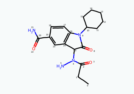 CCC(=O)N(N)C1C(=O)N(C2CCCCC2)c2ccc(C(N)=O)cc21